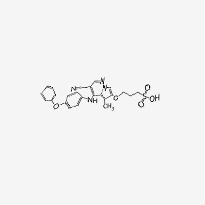 Cc1c(OCCCS(=O)(=O)O)cn2ncc(C#N)c(Nc3ccc(Oc4ccccc4)cc3)c12